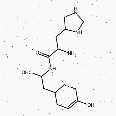 NC(CC1CNCN1)C(=O)NC(C=O)CC1CC=C(O)CC1